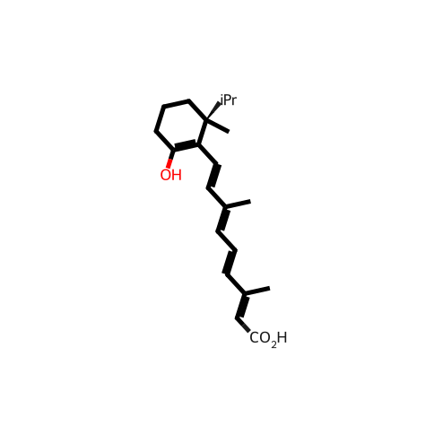 CC(/C=C/C1=C(O)CCC[C@@]1(C)C(C)C)=C\C=C\C(C)=C\C(=O)O